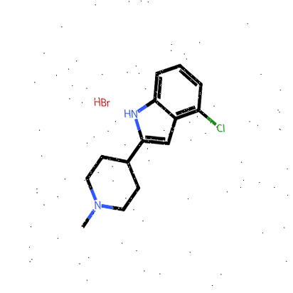 Br.CN1CCC(c2cc3c(Cl)cccc3[nH]2)CC1